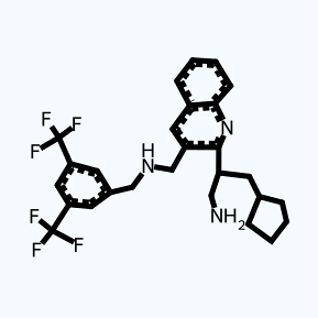 NCC(CC1CCCC1)c1nc2ccccc2cc1CNCc1cc(C(F)(F)F)cc(C(F)(F)F)c1